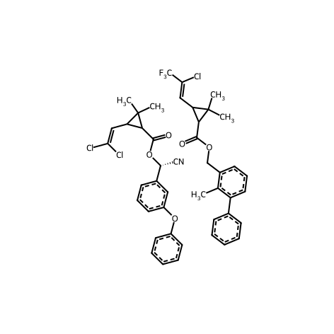 CC1(C)C(C=C(Cl)Cl)C1C(=O)O[C@H](C#N)c1cccc(Oc2ccccc2)c1.Cc1c(COC(=O)C2C(/C=C(\Cl)C(F)(F)F)C2(C)C)cccc1-c1ccccc1